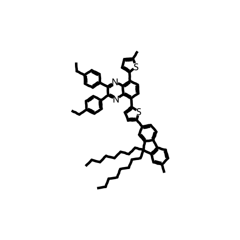 CCCCCCCCC1(CCCCCCCC)c2cc(C)ccc2-c2ccc(-c3ccc(-c4ccc(-c5ccc(C)s5)c5nc(-c6ccc(CC)cc6)c(-c6ccc(CC)cc6)nc45)s3)cc21